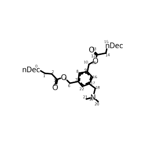 CCCCCCCCCCCCC(=O)OCc1cc(COC(=O)CCCCCCCCCCC)cc(CN(C)C)c1